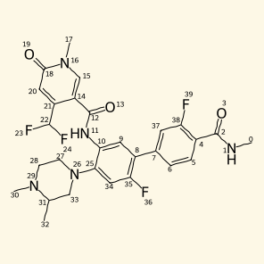 CNC(=O)c1ccc(-c2cc(NC(=O)c3cn(C)c(=O)cc3C(F)F)c(N3CCN(C)C(C)C3)cc2F)cc1F